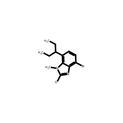 CCC(CC)c1ccc(Br)c2nc(Cl)n(C)c12